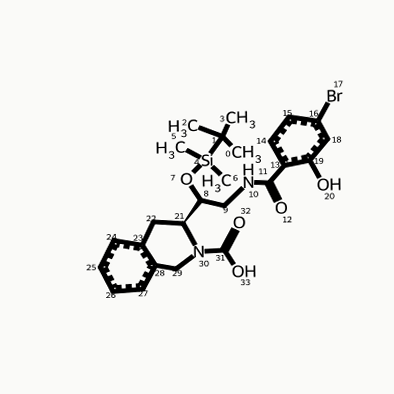 CC(C)(C)[Si](C)(C)OC(CNC(=O)c1ccc(Br)cc1O)[C@@H]1Cc2ccccc2CN1C(=O)O